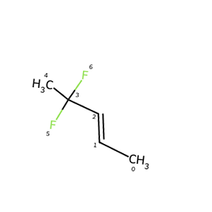 CC=CC(C)(F)F